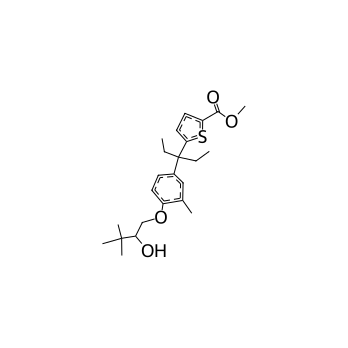 CCC(CC)(c1ccc(OCC(O)C(C)(C)C)c(C)c1)c1ccc(C(=O)OC)s1